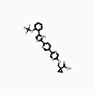 O=C(O)C1(COc2cnc(-c3ccc(-c4ncc(-c5ccccc5OC(F)(F)F)[nH]4)nc3)cn2)CC1